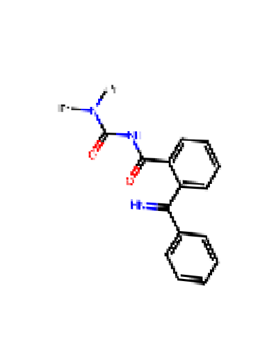 CC(C)N(C(=O)NC(=O)c1ccccc1C(=N)c1ccccc1)C(C)C